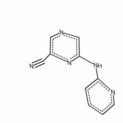 N#Cc1cncc(Nc2ccccn2)n1